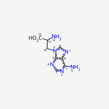 Nc1ncnc2c1ncn2CC(N)C(=O)O